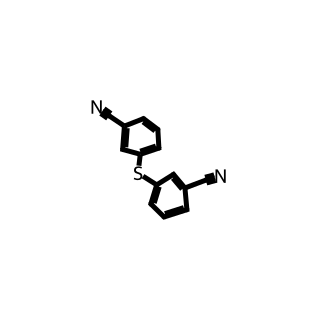 N#Cc1cccc(Sc2cccc(C#N)c2)c1